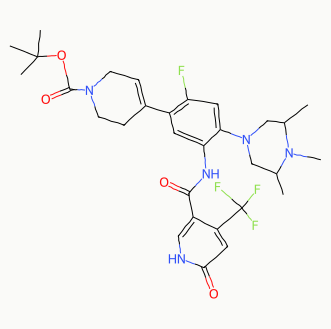 CC1CN(c2cc(F)c(C3=CCN(C(=O)OC(C)(C)C)CC3)cc2NC(=O)c2c[nH]c(=O)cc2C(F)(F)F)CC(C)N1C